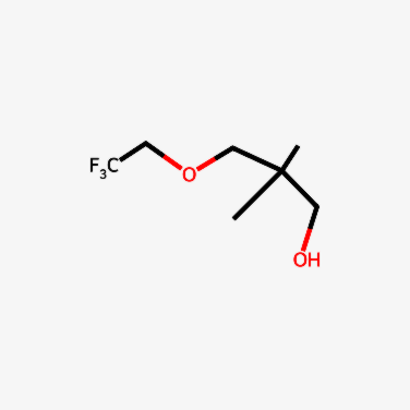 CC(C)(CO)COCC(F)(F)F